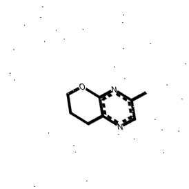 Cc1cnc2c(n1)OCCC2